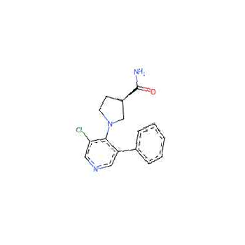 NC(=O)[C@@H]1CCN(c2c(Cl)cncc2-c2ccccc2)C1